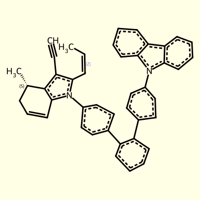 C#Cc1c2c(n(-c3ccc(-c4ccccc4-c4ccc(-n5c6ccccc6c6ccccc65)cc4)cc3)c1/C=C\C)C=CC[C@@H]2C